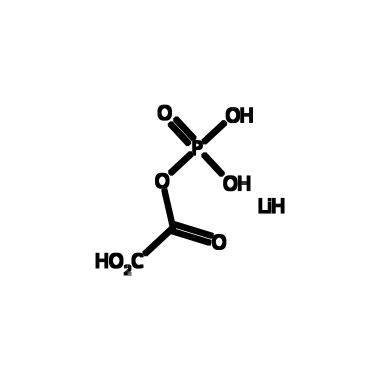 O=C(O)C(=O)OP(=O)(O)O.[LiH]